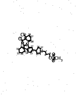 CS(=O)(=O)OCCCN1CCC(c2ccc3c(c2)-n2c(nc(=O)c4c(Cl)cccc42)C32CCCCC2)CC1